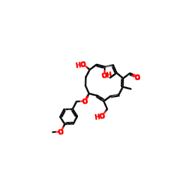 COc1ccc(CO[C@@H]2/C=C(CO)/C=C/C(C)=C(C=O)\C(C)=C\C(O)=C\C(O)CC2)cc1